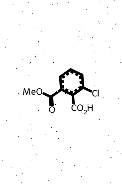 COC(=O)c1cccc(Cl)c1C(=O)O